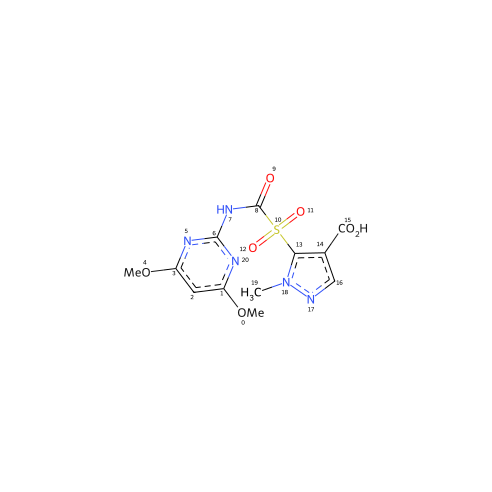 COc1cc(OC)nc(NC(=O)S(=O)(=O)c2c(C(=O)O)cnn2C)n1